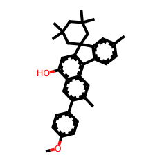 COc1ccc(-c2cc3c(O)cc4c(c3cc2C)-c2ccc(C)cc2C42CC(C)(C)CC(C)(C)C2)cc1